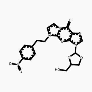 O=c1c2ncn(C3OCC(CO)O3)c2nc2n(CCc3ccc([N+](=O)[O-])cc3)ccn12